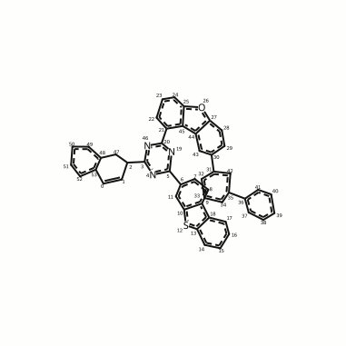 C1=CC(c2nc(-c3ccc4c(c3)sc3ccccc34)nc(-c3cccc4oc5ccc(-c6cccc(-c7ccccc7)c6)cc5c34)n2)Cc2ccccc21